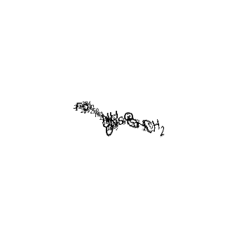 C=CCOC(=O)CSC1CC(=O)N1CC(=O)NCCCCCCc1ccc(F)cc1